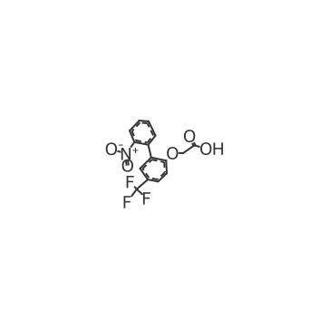 O=C(O)COc1ccc(C(F)(F)F)cc1-c1ccccc1[N+](=O)[O-]